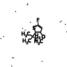 COc1cc(F)sc1C(C)(C)C